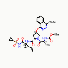 C=CC1C[C@]1(NC(=O)[C@@H]1C[C@@H](Oc2nnc(OC)c3ccccc23)CN1C(=O)[C@@H](NC(=O)OC(C)(C)C)C(C)(C)C)C(=O)NS(=O)(=O)C1CC1